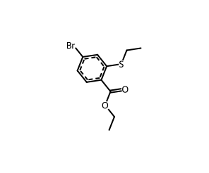 CCOC(=O)c1ccc(Br)cc1SCC